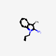 C=CCn1c(N)c(C#N)c2ccccc21